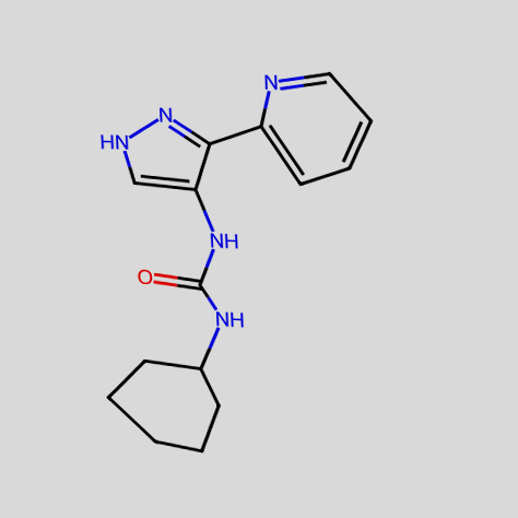 O=C(Nc1c[nH]nc1-c1ccccn1)NC1CCCCC1